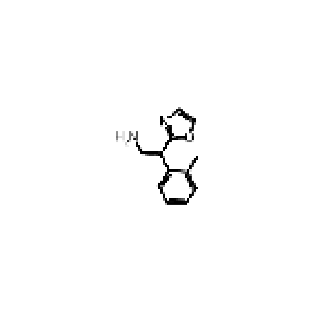 Cc1ccccc1C(CN)c1ncco1